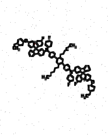 C=Cc1ccc(Oc2ccc(C3(c4ccc(F)cc4F)c4ccccc4-c4ccc(N(c5ccc(F)cc5)c5ccc(-c6cc(CCCCCC)c(-c7ccc(N(c8ccc(F)cc8)c8ccc9c(c8)C(c8ccc(Oc%10ccc(C=C)cc%10)cc8)(c8ccc(F)cc8F)c8ccccc8-9)cc7)cc6CCCCCC)cc5)cc43)cc2)cc1